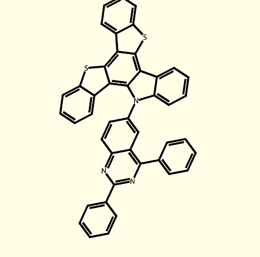 c1ccc(-c2nc(-c3ccccc3)c3cc(-n4c5ccccc5c5c6sc7ccccc7c6c6sc7ccccc7c6c54)ccc3n2)cc1